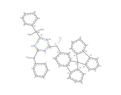 CC(c1ccccc1)c1nc([C@H](C)c2ccc3c(c2)C2(c4ccccc4-c4ccccc42)c2ccccc2-3)nc(C(C)(C)c2ccccc2)n1